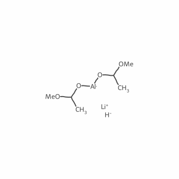 COC(C)[O][Al][O]C(C)OC.[H-].[Li+]